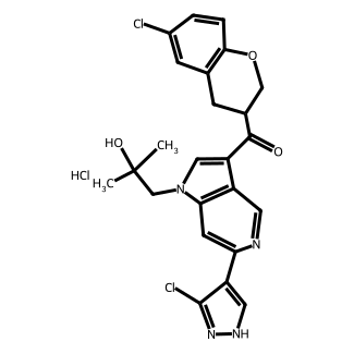 CC(C)(O)Cn1cc(C(=O)C2COc3ccc(Cl)cc3C2)c2cnc(-c3c[nH]nc3Cl)cc21.Cl